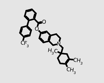 CC1=C(C)CC(C)(CN2CCc3cc(OC(=O)c4ccccc4-c4ccc(C(F)(F)F)cc4)ccc3C2)CC1